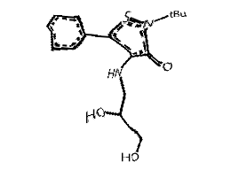 CC(C)(C)n1sc(-c2ccccc2)c(NCC(O)CO)c1=O